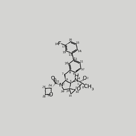 CS(=O)(=O)N[C@@H]1[C@H](Cc2cccc(-c3cccc(F)c3)c2)N(C(=O)[C@H]2CCO2)CC12CC2